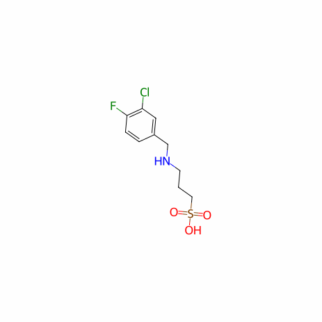 O=S(=O)(O)CCCNCc1ccc(F)c(Cl)c1